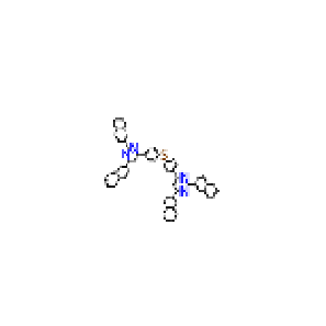 c1ccc2cc(-c3cc(-c4ccc(Sc5ccc(-c6cc(-c7ccc8ccccc8c7)nc(-c7ccc8ccccc8c7)n6)cc5)cc4)nc(-c4ccc5ccccc5c4)n3)ccc2c1